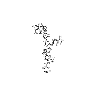 CC(C)(C)c1ccccc1N1CCCC1c1ccc(-c2ccc(C(=O)NS(=O)(=O)c3ccc(NCC4CCOCC4)c([N+](=O)[O-])c3)c(Oc3cnc4[nH]ccc4c3)c2)cc1